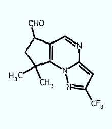 CC1(C)CC(C=O)c2cnc3cc(C(F)(F)F)nn3c21